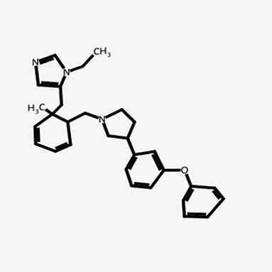 CCn1cncc1CC1(C)C=CC=CC1CN1CCC(c2cccc(Oc3ccccc3)c2)C1